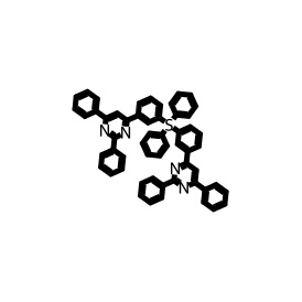 c1ccc(-c2cc(-c3cccc(S(c4ccccc4)(c4ccccc4)c4cccc(-c5cc(-c6ccccc6)nc(-c6ccccc6)n5)c4)c3)nc(-c3ccccc3)n2)cc1